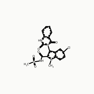 Cn1c(C(=O)NS(C)(=O)=O)c(-n2c(=O)[nH]c3ccccc3c2=O)c2cc(Cl)ccc21